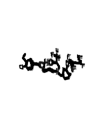 CCc1cc(OCCCN(Cc2cccc(OC(F)(F)C(F)F)c2)CC(O)C(F)(F)F)ccc1Cl